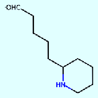 O=[C]CCCCC1CCCCN1